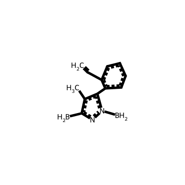 Bc1nn(B)c(-c2ccccc2C=C)c1C